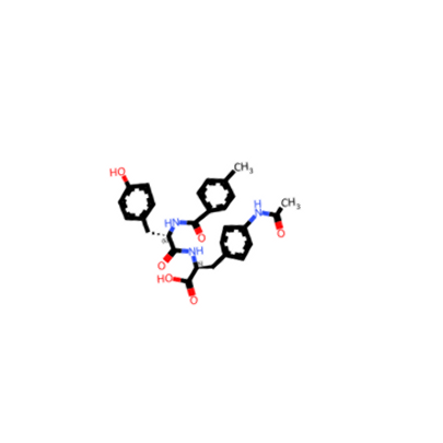 CC(=O)Nc1ccc(C[C@H](NC(=O)[C@H](Cc2ccc(O)cc2)NC(=O)c2ccc(C)cc2)C(=O)O)cc1